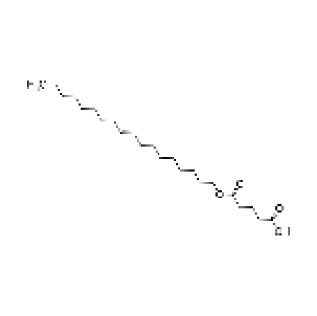 CCCCCCCCC=CCCCCCCCCOC(=O)CCCC(=O)O